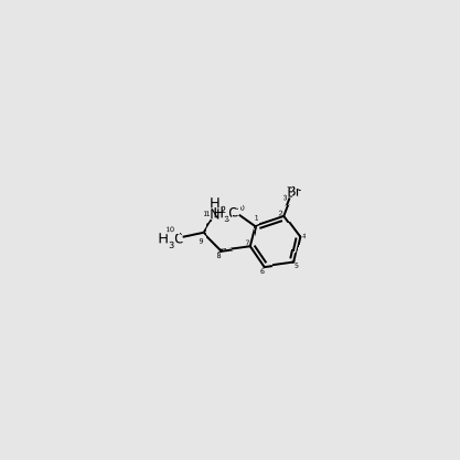 Cc1c(Br)cccc1CC(C)N